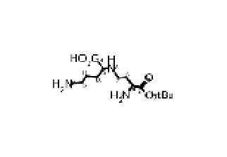 CC(C)(C)OC(=O)C(N)CCN[C@@H](CCCN)C(=O)O